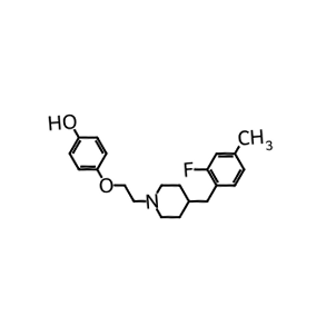 Cc1ccc(CC2CCN(CCOc3ccc(O)cc3)CC2)c(F)c1